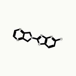 Clc1ccc2oc(N3Cc4nccnc4C3)nc2n1